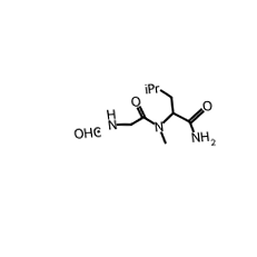 CC(C)CC(C(N)=O)N(C)C(=O)CNC=O